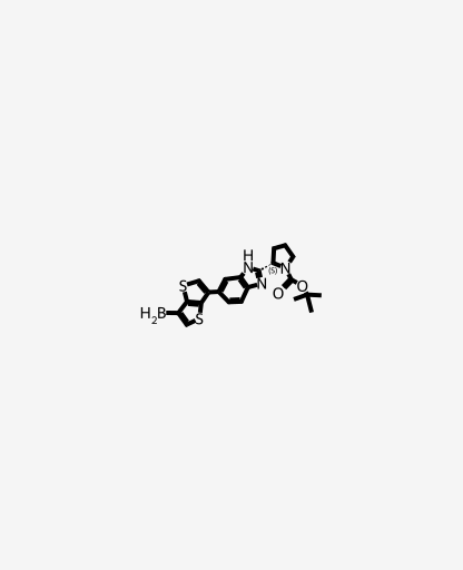 Bc1csc2c(-c3ccc4nc([C@@H]5CCCN5C(=O)OC(C)(C)C)[nH]c4c3)csc12